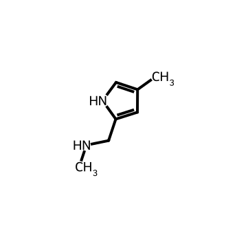 CNCc1cc(C)c[nH]1